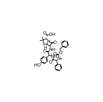 CN(C(=O)OCc1ccccc1)C(C(=O)NC(C(=O)N[C@@H]1C(=O)N2[C@@H]1SC(C)(C)[C@@H]2C(=O)O)c1ccc(O)cc1)c1ccccc1